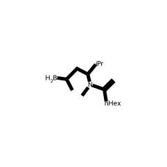 BC(C)CC(C(C)C)N(C)C(=C)CCCCCC